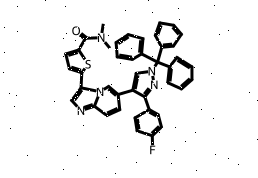 CN(C)C(=O)c1ccc(-c2cnc3ccc(-c4cn(C(c5ccccc5)(c5ccccc5)c5ccccc5)nc4-c4ccc(F)cc4)cn23)s1